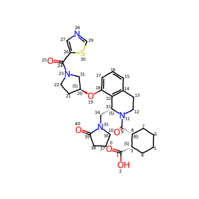 O=C(O)[C@H]1CCCC[C@H]1C(=O)N1CCc2cccc(O[C@H]3CCN(C(=O)c4cncs4)C3)c2[C@H]1CN1CCCC1=O